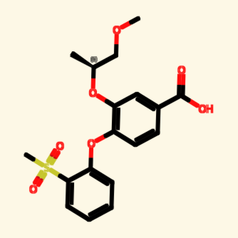 COC[C@H](C)Oc1cc(C(=O)O)ccc1Oc1ccccc1S(C)(=O)=O